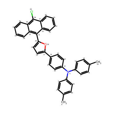 Cc1ccc(N(c2ccc(C)cc2)c2ccc(-c3ccc(-c4c5ccccc5c(Cl)c5ccccc45)o3)cc2)cc1